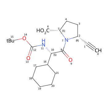 C#C[C@H]1CC[C@@H](C(=O)O)N1C(=O)[C@@H](NC(=O)OC(C)(C)C)C1CCCCC1